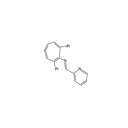 CC(C)C1=CC=C=CC(C(C)C)=C1/N=C/c1ccccn1